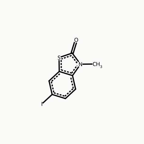 Cn1c(=O)sc2cc(I)ccc21